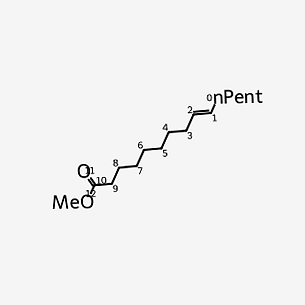 CCCCCC=CCCCCCCCC(=O)OC